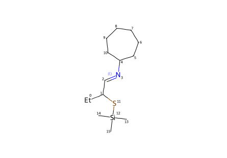 CCC(/C=N/C1CCCCCC1)S[Si](C)(C)C